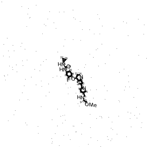 COC[C@H](C)NCc1ccc(-c2cc3nccc(Oc4ccc(NC(=O)NC5CC5)cc4F)c3s2)nc1